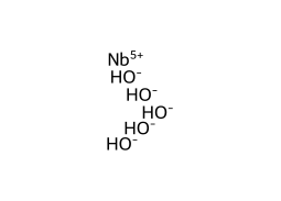 [Nb+5].[OH-].[OH-].[OH-].[OH-].[OH-]